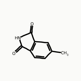 Cc1ccc2c(c1)C(=O)NC2=O